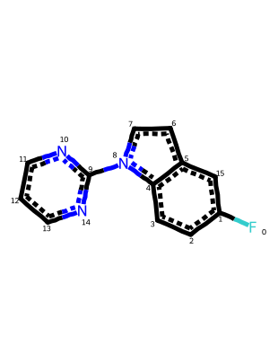 Fc1ccc2c(ccn2-c2ncccn2)c1